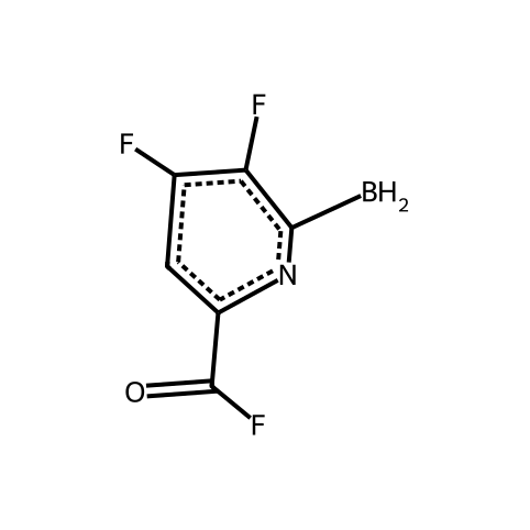 Bc1nc(C(=O)F)cc(F)c1F